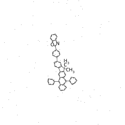 CC1(C)c2cc(-c3ccc(-c4nc5ccccc5o4)cc3)ccc2-c2cc3c(-c4ccccc4)c4ccccc4c(-c4ccccc4)c3cc21